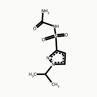 CC(C)n1ccc(S(=O)(=O)NC(N)=O)n1